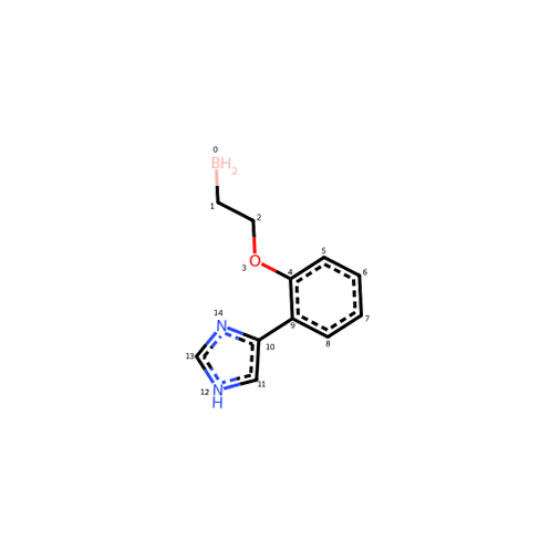 BCCOc1ccccc1-c1c[nH]cn1